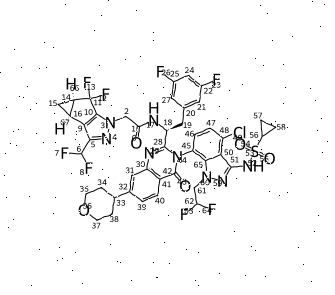 O=C(Cn1nc(C(F)F)c2c1C(F)(F)[C@@H]1C[C@H]21)N[C@@H](Cc1cc(F)cc(F)c1)c1nc2cc(C3CCOCC3)ccc2c(=O)n1-c1ccc(Cl)c2c(NS(=O)(=O)C3CC3)nn(CC(F)F)c12